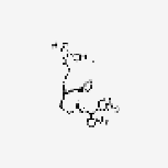 CC(C)SCCC1CCN(C(C)C)C1=O